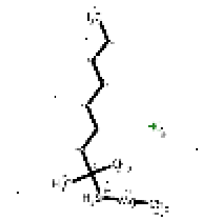 CCCCCCCC(C)(C)[SiH2][Mg][CH3].Cl